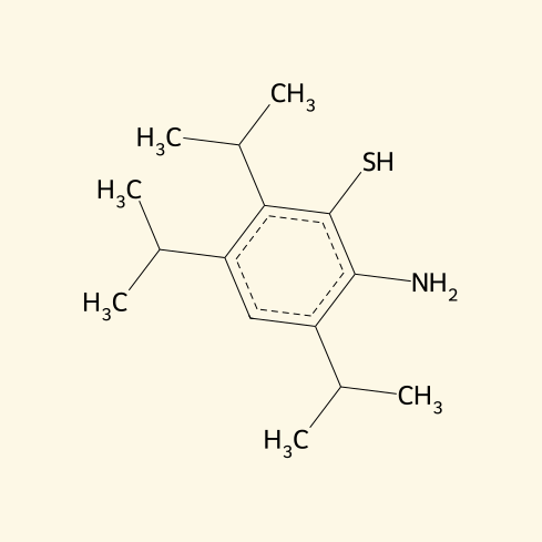 CC(C)c1cc(C(C)C)c(C(C)C)c(S)c1N